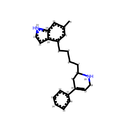 Cc1cc(CCCCC2CC(c3ccccc3)=CCN2)c2cc[nH]c2c1